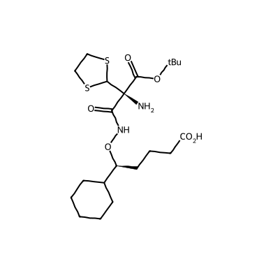 CC(C)(C)OC(=O)[C@](N)(C(=O)NO[C@@H](CCCC(=O)O)C1CCCCC1)C1SCCS1